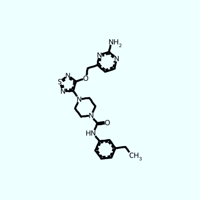 CCc1cccc(NC(=O)N2CCN(c3nsnc3OCc3ccnc(N)n3)CC2)c1